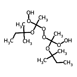 CCC(C)(C)OC(C)(OO)OOC(C)(OO)OC(C)(C)CC